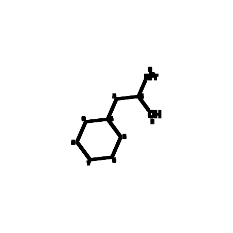 CCCC(O)CC1CCCCC1